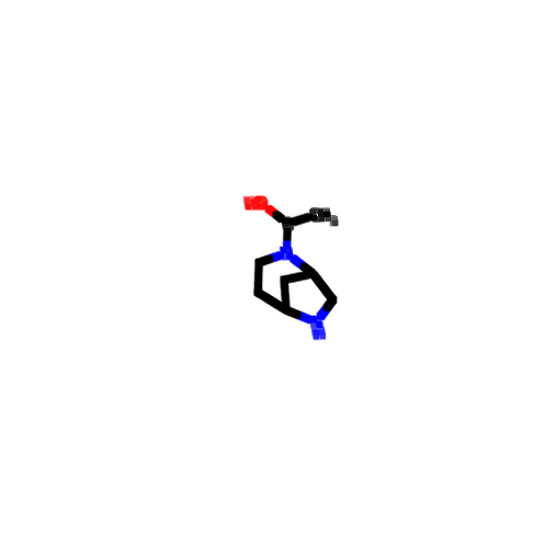 CB(O)N1CCC2CC1CN2